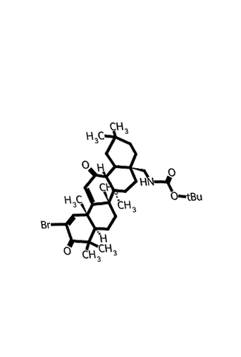 CC1(C)CC[C@]2(CNC(=O)OC(C)(C)C)CC[C@]3(C)[C@H](C(=O)C=C4[C@@]5(C)C=C(Br)C(=O)C(C)(C)[C@@H]5CC[C@]43C)C2C1